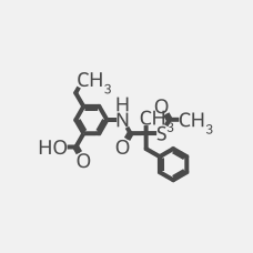 CCc1cc(NC(=O)C(C)(Cc2ccccc2)SC(C)=O)cc(C(=O)O)c1